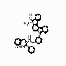 CNC(c1ccccc1)N(Cc1ccccc1)NCc1cccc(-n2c3ccccc3c3c4c(ccc32)C(C)(C)c2ccccc2-4)c1